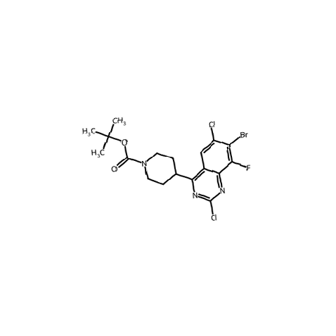 CC(C)(C)OC(=O)N1CCC(c2nc(Cl)nc3c(F)c(Br)c(Cl)cc23)CC1